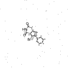 O=C1Cc2nn(-c3ccccc3)c(Br)c2C(=O)N1